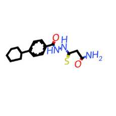 NC(=O)CC(=S)NNC(=O)c1ccc(C2CCCCC2)cc1